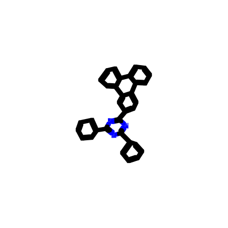 c1ccc(-c2nc(-c3ccccc3)nc(-c3ccc4c5ccccc5c5ccccc5c4c3)n2)cc1